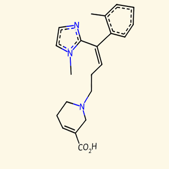 Cc1ccccc1C(=CCCN1CCC=C(C(=O)O)C1)c1nccn1C